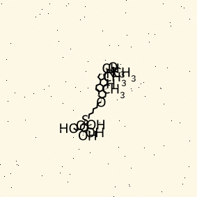 CC(=O)N[C@H](C)[C@H]1CCC2C3CC=C4C[C@@H](OCCCCCCS[C@@H]5O[C@H](CO)[C@@H](O)[C@H](O)[C@@H]5O)CC[C@]4(C)C3CC[C@@]21C